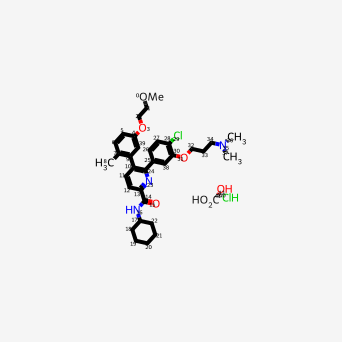 COCCOc1ccc(C)c(-c2ccc(C(=O)NC3CCCCC3)nc2-c2ccc(Cl)c(OCCCN(C)C)c2)c1.Cl.O=C(O)O